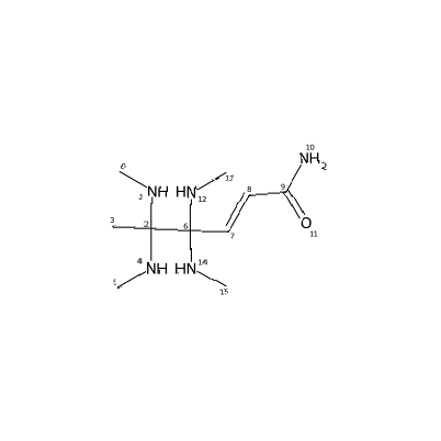 CNC(C)(NC)C(C=CC(N)=O)(NC)NC